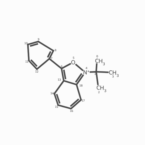 CC(C)(C)[n+]1oc(-c2ccccc2)c2ccccc21